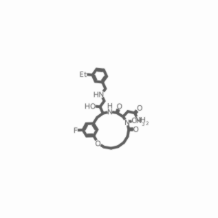 CCc1cccc(CNCC(O)C2Cc3cc(F)cc(c3)OCCCCCC(=O)N(C)C(CC(N)=O)C(=O)N2)c1